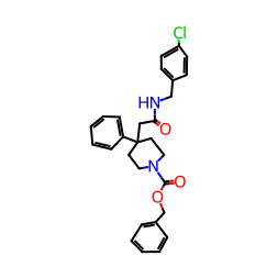 O=C(CC1(c2ccccc2)CCN(C(=O)OCc2ccccc2)CC1)NCc1ccc(Cl)cc1